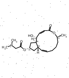 C[C@H]1CCCC=C[C@@H]2C[C@H](OC(=O)CN(C)C)C[C@H]2[C@H](O)C=CC(=O)O1